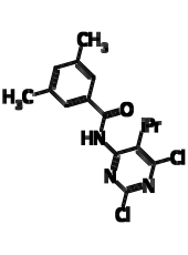 Cc1cc(C)cc(C(=O)Nc2nc(Cl)nc(Cl)c2C(C)C)c1